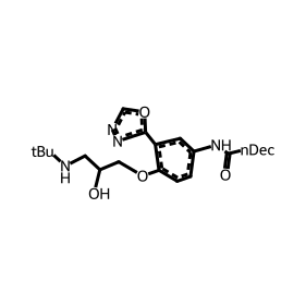 CCCCCCCCCCC(=O)Nc1ccc(OCC(O)CNC(C)(C)C)c(-c2nnco2)c1